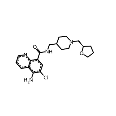 Nc1c(Cl)cc(C(=O)NCC2CCN(C[C@H]3CCCO3)CC2)c2ncccc12